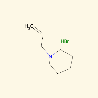 Br.C=CCN1CCCCC1